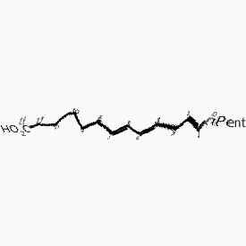 CCCCCC=CCC=CC=CCCCCCC(=O)O